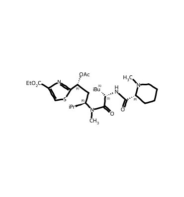 CCOC(=O)c1csc([C@@H](C[C@H](C(C)C)N(C)C(=O)[C@@H](NC(=O)[C@H]2CCCCN2C)[C@@H](C)CC)OC(C)=O)n1